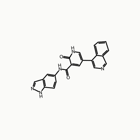 O=C(Nc1ccc2[nH]ncc2c1)c1cc(-c2cncc3ccccc23)c[nH]c1=O